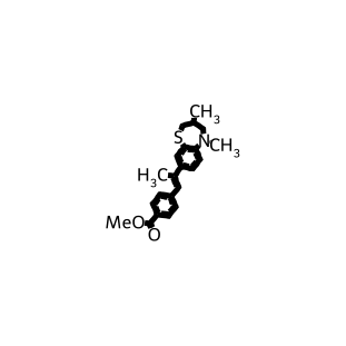 COC(=O)c1ccc(C=C(C)c2ccc3c(c2)SCC(C)CN3C)cc1